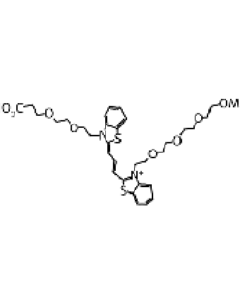 COCCOCCOCCOCC[n+]1c(/C=C/C=C2\Sc3ccccc3N2CCOCCOCCC(=O)O)sc2ccccc21